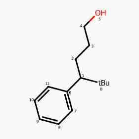 CC(C)(C)C(CCCO)c1ccccc1